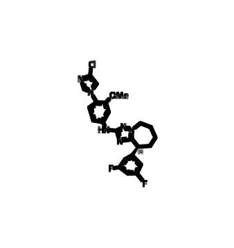 COc1cc(Nc2nc3n(n2)CCCC[C@H]3c2cc(F)cc(F)c2)ccc1-n1cnc(Cl)c1